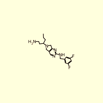 CCCC(CCN)N1Cc2cnc(NCc3cc(F)cc(F)c3)nc2C1